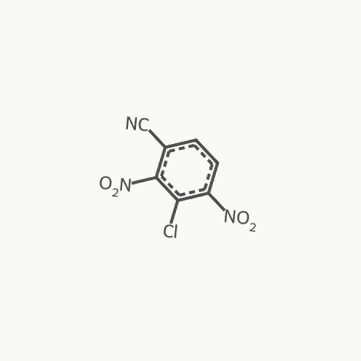 N#Cc1ccc([N+](=O)[O-])c(Cl)c1[N+](=O)[O-]